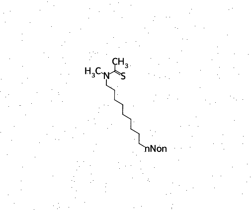 CCCCCCCCCCCCCCCCCCN(C)C(C)=S